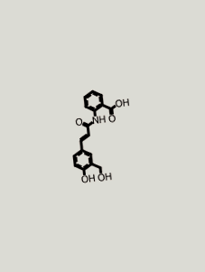 O=C(C=Cc1ccc(O)c(CO)c1)Nc1ccccc1C(=O)O